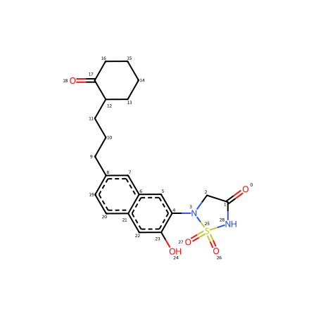 O=C1CN(c2cc3cc(CCCC4CCCCC4=O)ccc3cc2O)S(=O)(=O)N1